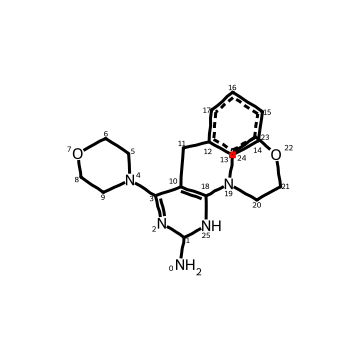 NC1N=C(N2CCOCC2)C(Cc2ccccc2)=C(N2CCOCC2)N1